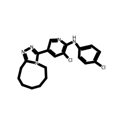 Clc1ccc(Nc2ncc(-c3nnc4n3CCCCCCC4)cc2Cl)cc1